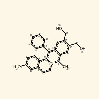 Cc1ccc2c(cc[n+]3c(C)c4cc(CO)c(CO)cc4c(-c4ccccc4)c23)c1